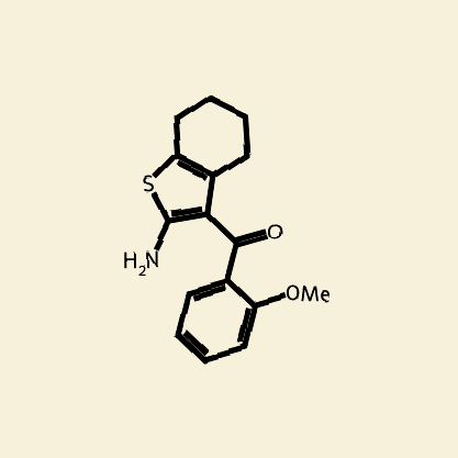 COc1ccccc1C(=O)c1c(N)sc2c1CCCC2